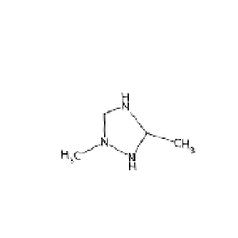 CC1NCN(C)N1